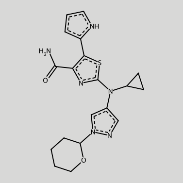 NC(=O)c1nc(N(c2cnn(C3CCCCO3)c2)C2CC2)sc1-c1ccc[nH]1